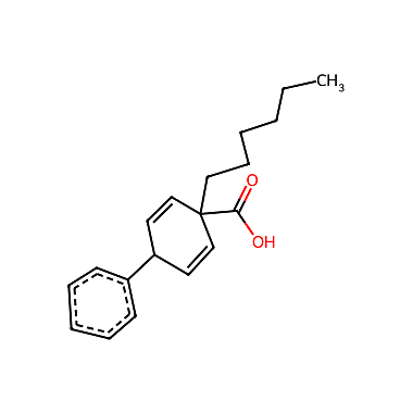 CCCCCCC1(C(=O)O)C=CC(c2ccccc2)C=C1